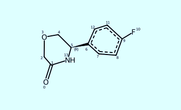 O=C1COC[C@@H](c2ccc(F)cc2)N1